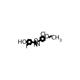 CCCOc1ccc(-c2nnc(-c3ccc(O)c(I)c3)o2)cc1Cl